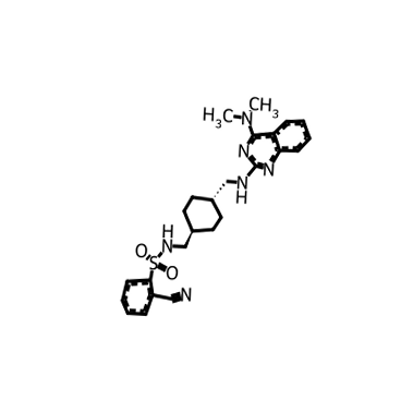 CN(C)c1nc(NC[C@H]2CC[C@H](CNS(=O)(=O)c3ccccc3C#N)CC2)nc2ccccc12